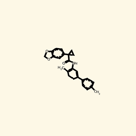 CC1=C(NC(=O)C2(c3ccc4c(c3)OCO4)CC2)C=C(c2ccc(C)cc2)CC1